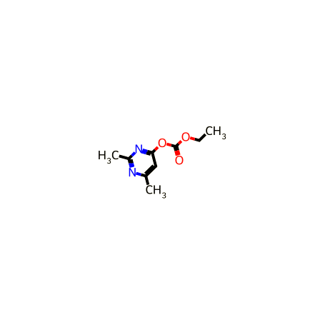 CCOC(=O)Oc1cc(C)nc(C)n1